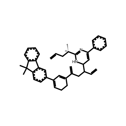 C=CC[C@H](C)C1=NC(c2ccccc2)=CC(C(C=C)CC(=C)C2=CC(c3ccc4c(c3)-c3ccccc3C4(C)C)=CCC2)N1